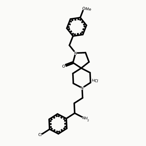 COc1ccc(CN2CCC3(CCN(CCC(N)c4ccc(Cl)cc4)CC3)C2=O)cc1.Cl